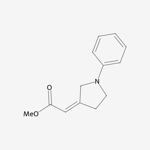 COC(=O)C=C1CCN(c2ccccc2)C1